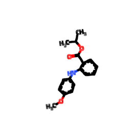 COc1ccc(Nc2ccccc2C(=O)OC(C)C)cc1